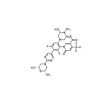 CC1CN(c2cc(F)c(-c3cnc(N4C[C@@H](C)O[C@@H](C)C4)nc3)c(F)c2-n2cc(C(N)=O)c(C(F)(F)F)cc2=O)CCN1C